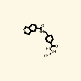 CCCNNC(=O)c1ccc(CNC(=O)c2ccc3cnccc3c2)cc1